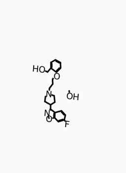 CO.OCc1ccccc1OCCCN1CCC(c2noc3cc(F)ccc23)CC1